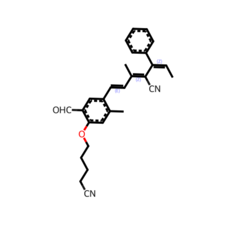 C\C=C(/C(C#N)=C(C)/C=C/c1cc(C=O)c(OCCCCC#N)cc1C)c1ccccc1